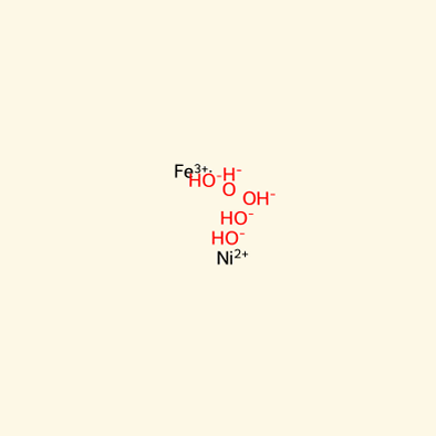 [Fe+3].[Ni+2].[OH-].[OH-].[OH-].[OH-].[OH-]